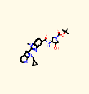 Cn1c(-c2cc3cccnc3n2CC2CC2)nc2cc(C(=O)N[C@H]3CN(C(=O)OC(C)(C)C)C[C@H]3O)ccc21